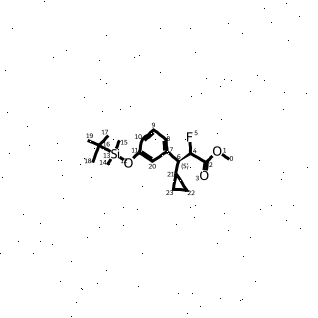 COC(=O)C(F)[C@H](c1cccc(O[Si](C)(C)C(C)(C)C)c1)C1CC1